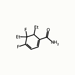 CCC1C(C(N)=O)=CC=C(F)C1(F)CC